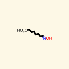 O=C(O)CCCCCC/C=N/O